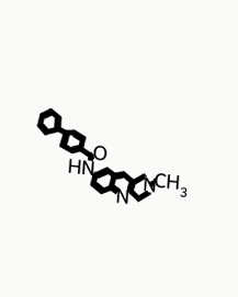 CN1CCc2nc3ccc(NC(=O)c4ccc(-c5ccccc5)cc4)cc3cc2C1